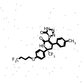 Cc1ccc(C2=C(n3nn[nH]c3=O)C(=O)N[C@@](c3ccc(OCCCC(F)(F)F)cc3)(C(F)(F)F)C2)cc1